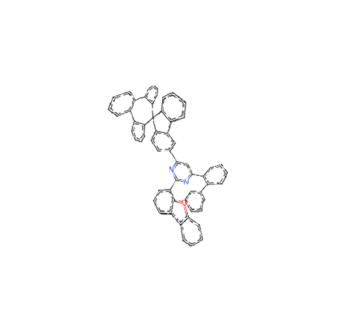 c1ccc(-c2ccccc2-c2cc(-c3ccc4c(c3)-c3ccccc3C43c4ccccc4-c4ccccc4-c4ccccc43)nc(-c3cccc4c3oc3ccccc34)n2)cc1